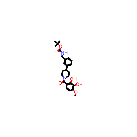 COc1ccc(C(=O)N2CCC(c3cccc(CNC(=O)OC(C)(C)C)c3)CC2)c(O)c1O